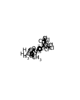 CC(C)=CC(C)(C(=O)Oc1ccc(-c2nc(C(Cl)(Cl)Cl)nc(C(Cl)(Cl)Cl)n2)cc1)C(C)(C)C